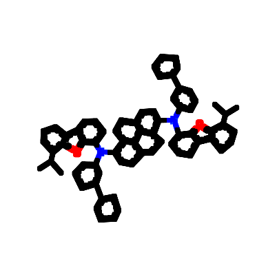 CC(C)c1cccc2c1oc1c(N(c3cccc(-c4ccccc4)c3)c3ccc4ccc5c(N(c6cccc(-c7ccccc7)c6)c6cccc7c6oc6c(C(C)C)cccc67)ccc6ccc3c4c65)cccc12